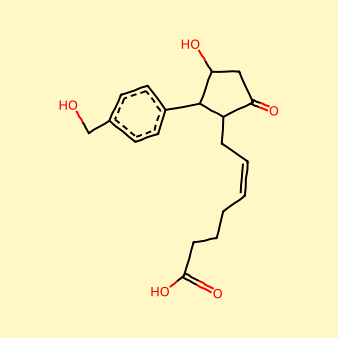 O=C(O)CCC/C=C\CC1C(=O)CC(O)C1c1ccc(CO)cc1